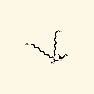 C=CC(=O)NC(CCCC)N(CCCCCCCCCCCCCCCCCC)CCCCCCCCCCCCCCCCCC